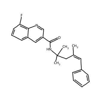 C/C(=C/c1ccccc1)CC(C)(C)NC(=O)c1cnc2c(F)cccc2c1